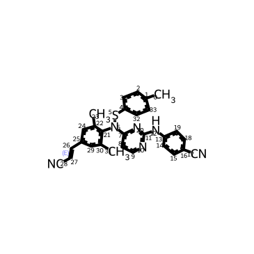 Cc1ccc(SN(c2ccnc(Nc3ccc(C#N)cc3)n2)c2c(C)cc(/C=C/C#N)cc2C)cc1